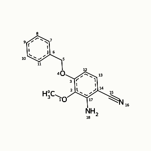 COc1c(OCc2ccccc2)ccc(C#N)c1N